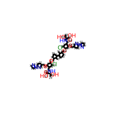 Cc1c(COc2cc(OCc3ccc(-n4cccn4)nc3)c(CNC(C(=O)O)C(C)O)cc2Cl)cccc1-c1cccc(COc2cc(OCc3ccc(-n4cccn4)nc3)c(CNC(C(=O)O)C(C)O)cc2Cl)c1C